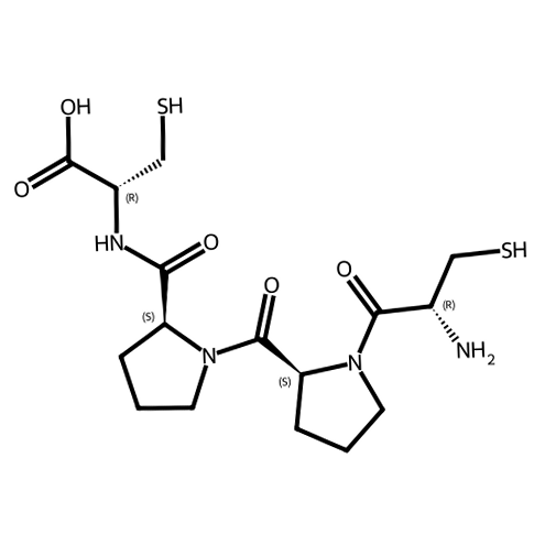 N[C@@H](CS)C(=O)N1CCC[C@H]1C(=O)N1CCC[C@H]1C(=O)N[C@@H](CS)C(=O)O